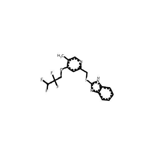 Cc1cnc(CSc2nc3ccccc3[nH]2)cc1OCC(F)(F)C(F)F